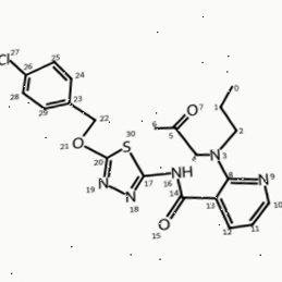 CCCN(CC(C)=O)c1ncccc1C(=O)Nc1nnc(OCc2ccc(Cl)cc2)s1